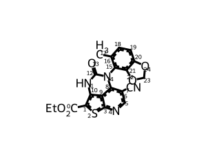 CCOC(=O)c1sc2ncc(C#N)c3c2c1NC(=O)N3c1c(C)ccc2c1OCO2